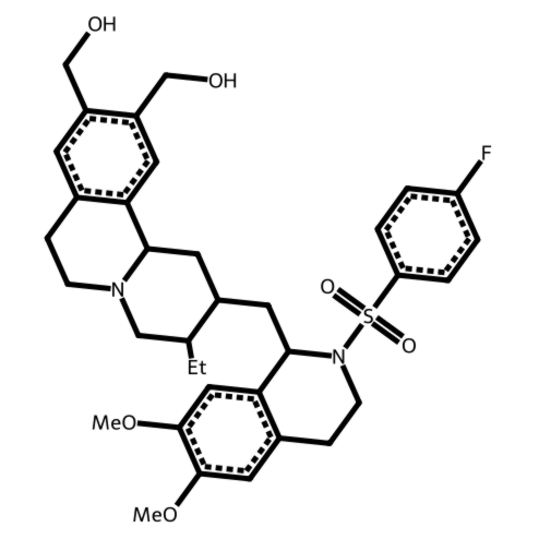 CCC1CN2CCc3cc(CO)c(CO)cc3C2CC1CC1c2cc(OC)c(OC)cc2CCN1S(=O)(=O)c1ccc(F)cc1